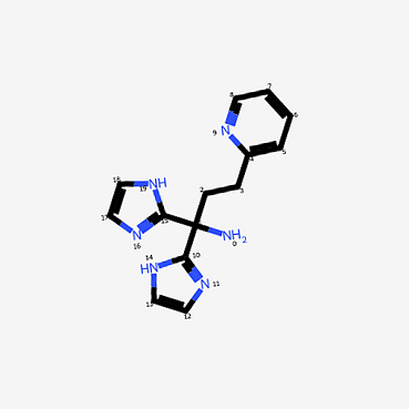 NC(CCc1ccccn1)(c1ncc[nH]1)c1ncc[nH]1